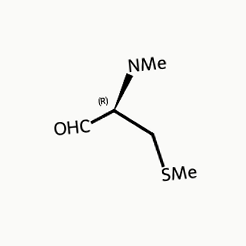 CN[C@H](C=O)CSC